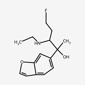 CCNC(CCF)C(C)(O)c1ccc2ccoc2c1